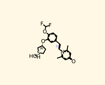 Cc1cc(=O)cc(C)n1/C=C/c1ccc(OC(F)F)c(O[C@@H]2CC[SH](O)C2)c1